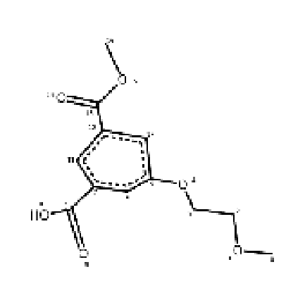 COCCOc1cc(C(=O)O)cc(C(=O)OC)c1